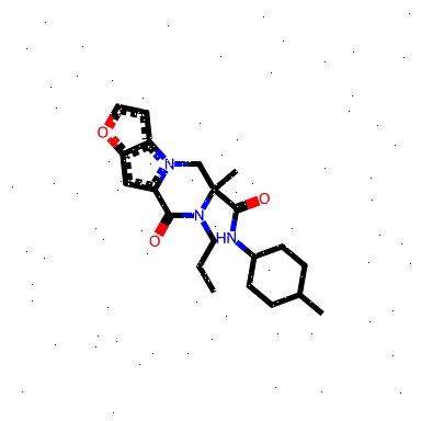 CCCN1C(=O)c2cc3occc3n2CC1(C)C(=O)NC1CCC(C)CC1